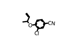 C=CC(C)Oc1ccc(C#N)cc1Cl